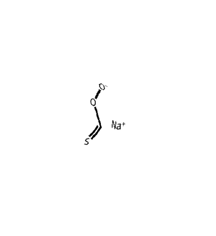 [Na+].[O-]OC=S